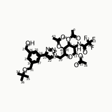 CC(=O)OC1C(NC(=O)C(F)(F)F)[C@H](OC(C)=O)OC(Cn2cc(-c3cc(CO)cc(COC(C)(C)C)c3)nn2)[C@H]1OC(C)=O